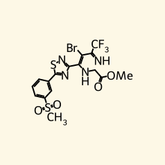 COC(=O)CN/C(=C(/Br)C(=N)C(F)(F)F)c1nsc(-c2cccc(S(C)(=O)=O)c2)n1